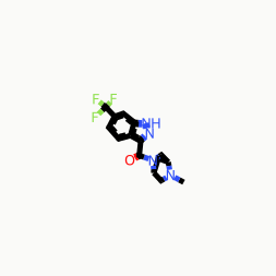 CN1CC2CC1CN2C(=O)c1n[nH]c2cc(C(F)(F)F)ccc12